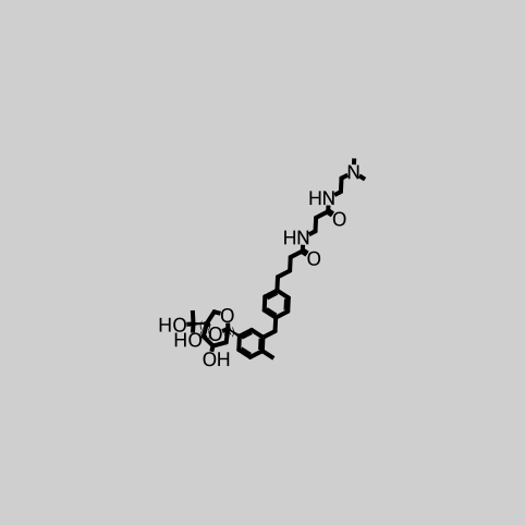 Cc1ccc([C@]23CC(O)[C@H](O)[C@](C(C)(C)O)(CO2)O3)cc1Cc1ccc(CCCC(=O)NCCC(=O)NCCN(C)C)cc1